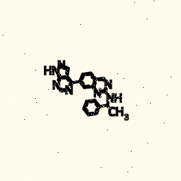 CC(Nc1ncc2ccc(-c3ncnc4[nH]ncc34)cc2n1)c1ccccc1